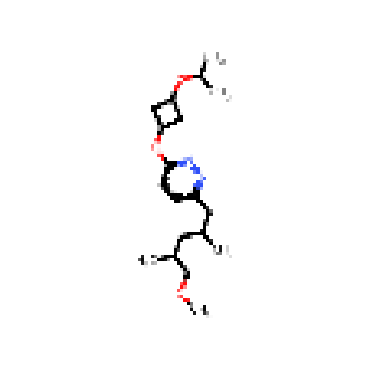 COCC(C)CC(C)Cc1ccc(OC2CC(OC(C)C)C2)nn1